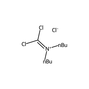 CCCC[N+](CCCC)=C(Cl)Cl.[Cl-]